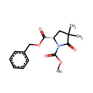 CC(C)(C)OC(=O)N1C(=O)C(C)(C)C[C@H]1C(=O)OCc1ccccc1